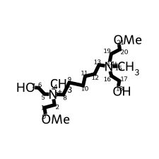 COCC[N+](C)(CCO)CCCCCC[N+](C)(CCO)CCOC